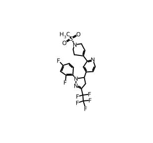 CS(=O)(=O)N1CC=C(c2cc(C3CC(C(F)(F)C(F)(F)F)=NN3c3ccc(F)cc3F)ccn2)CC1